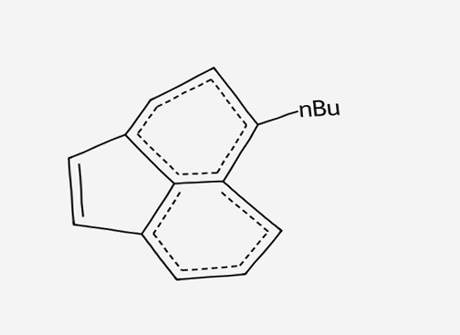 CCCCc1ccc2c3c(cccc13)C=C2